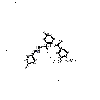 COc1ccc(C(=O)Nc2ccc(I)cc2C(=O)N/N=C/c2ccc(F)cc2)cc1OC